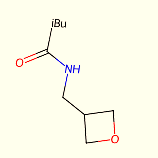 CCC(C)C(=O)NCC1COC1